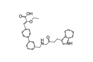 CCOC(=Cc1ccc(-c2cccc(CNCC(=O)CCc3c[nH]c4ccccc34)c2)cc1)C(=O)O